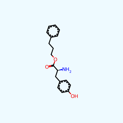 N[C@@H](Cc1ccc(O)cc1)C(=O)OCCCc1ccccc1